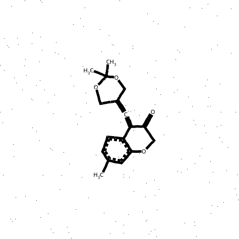 Cc1ccc2c(c1)OCC(=O)C2=C=C1COC(C)(C)OC1